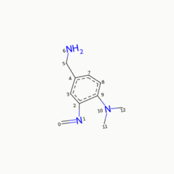 C=Nc1cc(CN)ccc1N(C)C